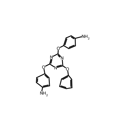 Nc1ccc(Oc2nc(Oc3ccccc3)nc(Oc3ccc(N)cc3)n2)cc1